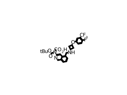 CC(C)(C)OC(=O)N(C(=O)O)c1cc2c(CN[C@H]3C[C@H](Oc4ccc(F)c(C(F)(F)F)c4)C3)cccc2cn1